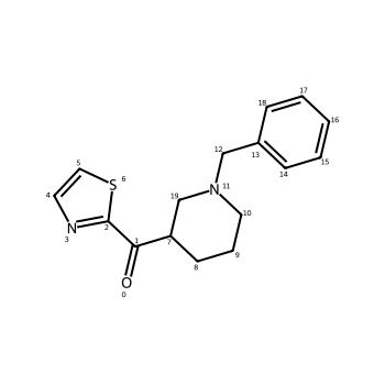 O=C(c1nccs1)C1CCCN(Cc2ccccc2)C1